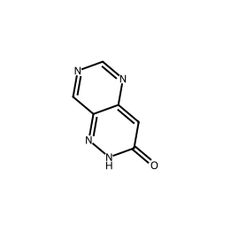 O=c1cc2ncncc2n[nH]1